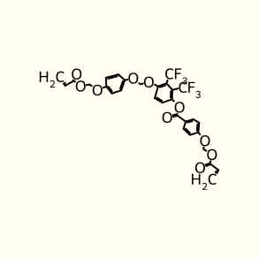 C=CC(=O)OCOc1ccc(OCOc2ccc(OC(=O)c3ccc(OCOC(=O)C=C)cc3)c(C(F)(F)F)c2C(F)(F)F)cc1